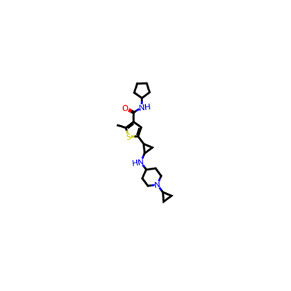 Cc1sc(C2CC2NC2CCN(C3CC3)CC2)cc1C(=O)NC1CCCC1